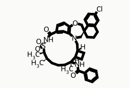 C[C@@H]1[C@@H](C)CCC[C@](C)(NC(=O)c2ccccc2)[C@@H]2CC[C@H]2CN2C[C@@]3(CCCc4cc(Cl)ccc43)COc3ccc(cc32)C(=O)NS1(=O)=O